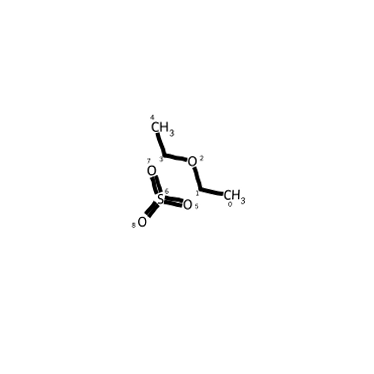 CCOCC.O=S(=O)=O